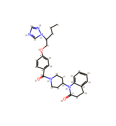 CCCC(COc1ccc(C(=O)N2CCC(N3C(=O)CCc4ccccc43)CC2)cc1)n1cncn1